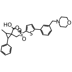 CC1C(c2ccccc2)C1(CS(=O)(=O)c1ccc(-c2cccc(CN3CCOCC3)c2)s1)C(=O)O